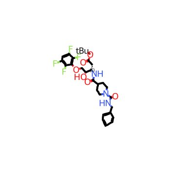 CC(C)(C)OC(=O)C[C@H](NC(=O)C1CCN(C(=O)NCc2ccccc2)CC1)C(O)COc1c(F)c(F)cc(F)c1F